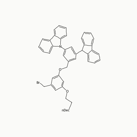 CCCCCCCCCCCCOc1cc(CBr)cc(OCc2cc(C3c4ccccc4-c4ccccc43)cc(-n3c4ccccc4c4ccccc43)c2)c1